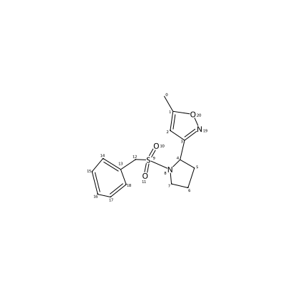 Cc1cc(C2CCCN2S(=O)(=O)Cc2ccccc2)no1